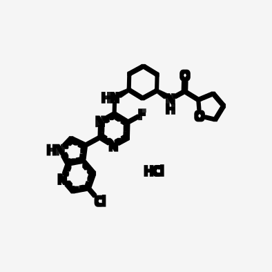 Cl.O=C(N[C@@H]1CCC[C@H](Nc2nc(-c3c[nH]c4ncc(Cl)cc34)ncc2F)C1)C1CCCO1